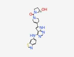 O=C(N1CC=C(c2cc3c(Nc4ccc5ncsc5c4)ncnc3[nH]2)CC1)N1CC[C@H](O)C1